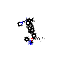 C=C(C)[C@@H]1CC[C@]2(NCCN3CCCCC3)CC[C@]3(C)[C@H](CC[C@@H]4[C@@]5(C)CC=C(C6=CCC(COc7cnnn7-c7ccccc7)(C(=O)OCC)CC6)C(C)(C)[C@@H]5CC[C@]43C)[C@@H]12